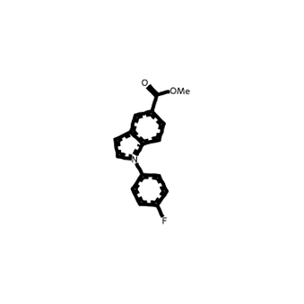 COC(=O)c1ccc2c(ccn2-c2ccc(F)cc2)c1